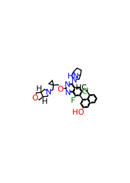 C#Cc1cccc2cc(O)cc(-c3c(Cl)cc4c(N5CC6CCC(C5)N6)nc(OCC5(CN6C[C@H]7COC[C@@H]7C6)CC5)nc4c3F)c12